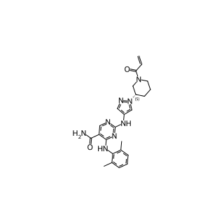 C=CC(=O)N1CCC[C@H](n2cc(Nc3ncc(C(N)=O)c(Nc4c(C)cccc4C)n3)cn2)C1